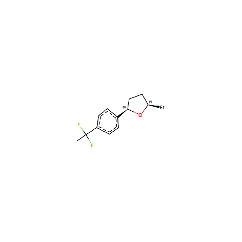 CC[C@@H]1CC[C@H](c2ccc(C(C)(F)F)cc2)O1